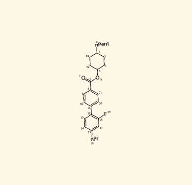 CCCCCC1CCC(OC(=O)c2ccc(-c3ccc(CCC)cc3F)cc2)CC1